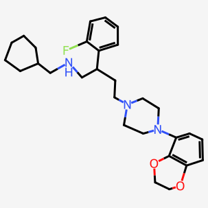 Fc1ccccc1C(CCN1CCN(c2cccc3c2OCCO3)CC1)CNCC1CCCCC1